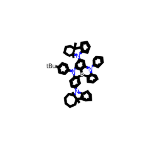 CC(C)(C)c1ccc(N2c3ccc(N4c5ccccc5C5(C)CCCCCC45C)cc3B3c4ccccc4N(c4ccccc4)c4cc(N5c6ccccc6C6(C)CCCCC56C)cc2c43)cc1